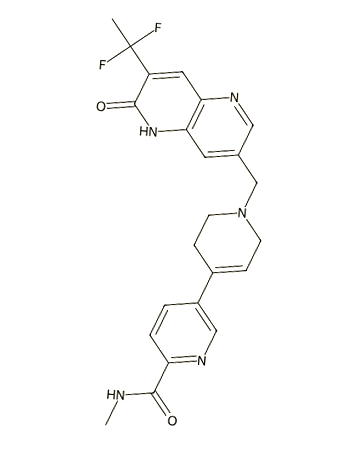 CNC(=O)c1ccc(C2=CCN(Cc3cnc4cc(C(C)(F)F)c(=O)[nH]c4c3)CC2)cn1